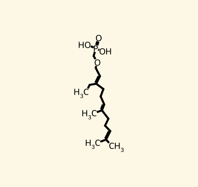 CC/C(=C\COCP(=O)(O)O)CC/C=C(\C)CCC=C(C)C